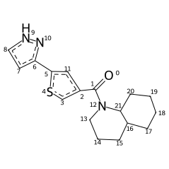 O=C(c1csc(-c2cc[nH]n2)c1)N1CCCC2CCCCC21